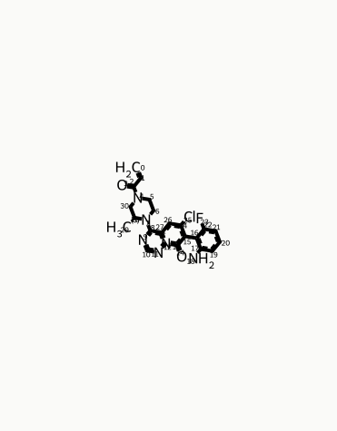 C=CC(=O)N1CCN(c2ncnn3c(=O)c(-c4c(N)cccc4F)c(Cl)cc23)[C@@H](C)C1